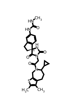 CNC(=O)Nc1ccc2c(c1)CC[C@]21NC(=O)N(CC(=O)N2Cc3sc(C)c(C)c3CCC2C2CC2)C1=O